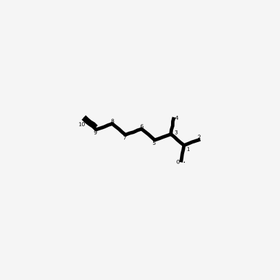 [CH2]C(C)C(C)CCCCC=C